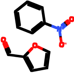 O=Cc1ccco1.O=[N+]([O-])c1ccccc1